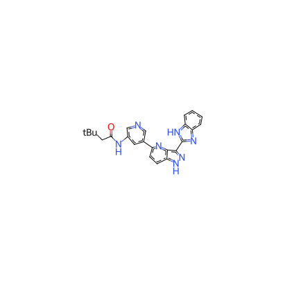 CC(C)(C)CC(=O)Nc1cncc(-c2ccc3[nH]nc(-c4nc5ccccc5[nH]4)c3n2)c1